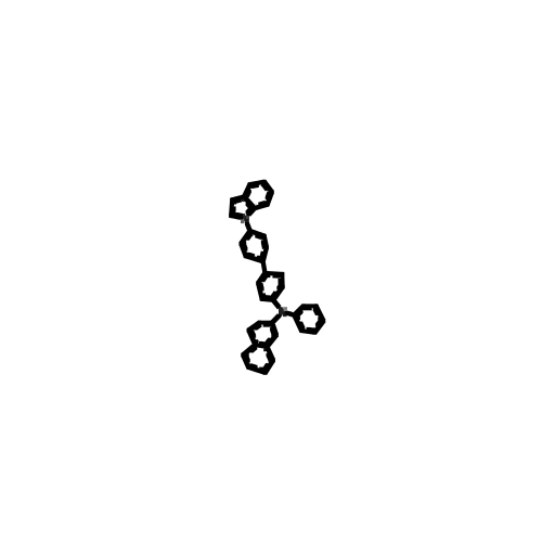 c1ccc(N(c2ccc(-c3ccc(-n4ccc5ccccc54)cc3)cc2)c2ccc3ccccc3c2)cc1